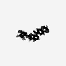 CN(c1ccc2c(c1)OCO2)c1ncnc2cc(-c3ccc(Cl)s3)sc12